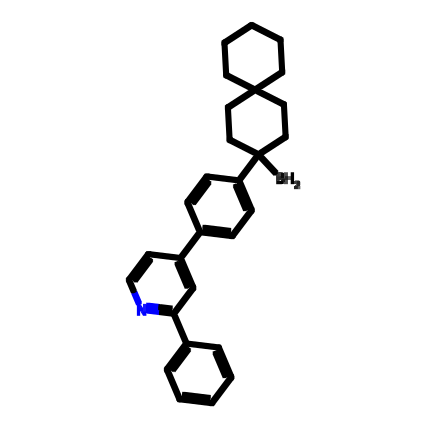 BC1(c2ccc(-c3ccnc(-c4ccccc4)c3)cc2)CCC2(CCCCC2)CC1